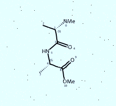 CN[C@@H](C)C(=O)N[C@@H](C)C(=O)OC